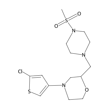 CS(=O)(=O)N1CCN(CC2CN(c3csc(Cl)c3)CCO2)CC1